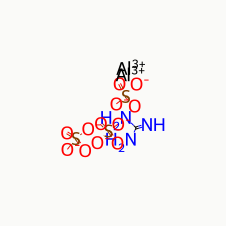 N=C(N)N.O=S(=O)([O-])[O-].O=S(=O)([O-])[O-].O=S(=O)([O-])[O-].[Al+3].[Al+3]